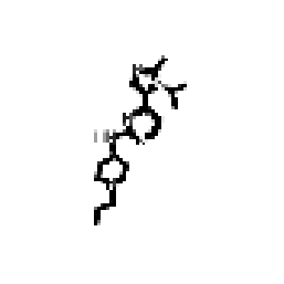 CCCN1CCC(Nc2nccc(-c3cnc(C)n3C(C)C)n2)CC1